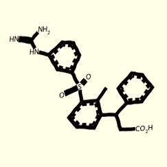 Cc1c(C(CC(=O)O)c2ccccc2)cccc1S(=O)(=O)c1cccc(NC(=N)N)c1